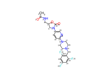 CC(=O)NCC1CN(c2ccc(N3CCN(Cc4c(F)cc(F)cc4F)CC3)nc2)C(=O)O1